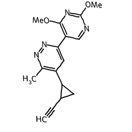 C#CC1CC1c1cc(-c2cnc(OC)nc2OC)nnc1C